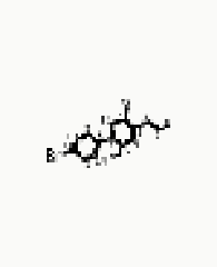 C/C=C/c1cc(C)c(-c2ccc(Br)cc2)cc1C